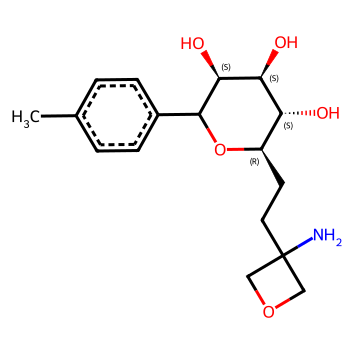 Cc1ccc(C2O[C@H](CCC3(N)COC3)[C@@H](O)[C@H](O)[C@@H]2O)cc1